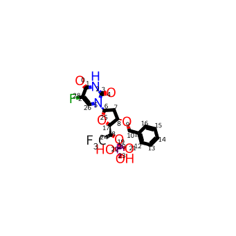 O=c1[nH]c(=O)n([C@H]2C[C@H](OCc3ccccc3)[C@@H](C(OP(=O)(O)O)C(F)(F)F)O2)cc1F